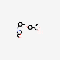 CC#C[C@H](CC(=O)O)c1ccc(OCc2cccc(CN3CCc4occc4C3)c2)cc1